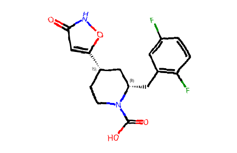 O=C(O)N1CC[C@H](c2cc(=O)[nH]o2)C[C@@H]1Cc1cc(F)ccc1F